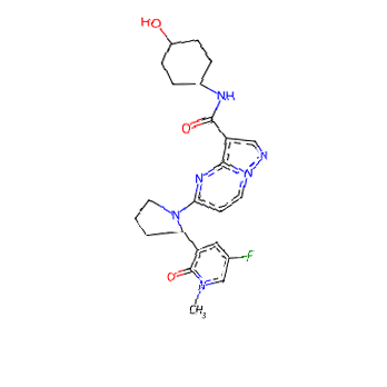 Cn1cc(F)cc(C2CCCN2c2ccn3ncc(C(=O)NC4CCC(O)CC4)c3n2)c1=O